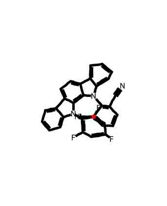 N#Cc1cccc(C#N)c1-n1c2ccccc2c2ccc3c4ccccc4n(-c4c(F)cc(F)cc4F)c3c21